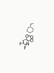 CC[C@H]1CC[C@H](C(=O)Oc2cc(F)c(F)nc2Cl)CC1